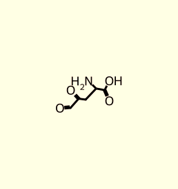 NC(CC(=O)C=O)C(=O)O